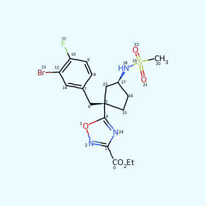 CCOC(=O)c1noc([C@@]2(Cc3ccc(F)c(Br)c3)CC[C@H](NS(C)(=O)=O)C2)n1